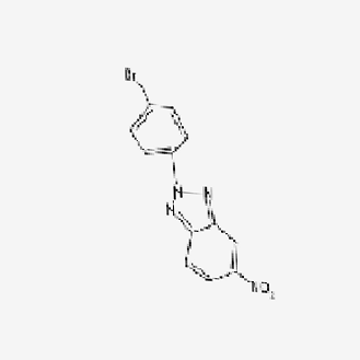 O=[N+]([O-])c1ccc2nn(-c3ccc(Br)cc3)nc2c1